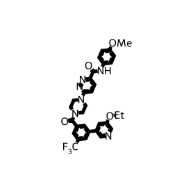 CCOc1cncc(-c2cc(C(=O)N3CCN(c4ccc(C(=O)Nc5ccc(OC)cc5)nn4)CC3)cc(C(F)(F)F)c2)c1